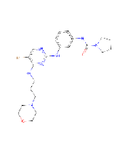 O=C(Nc1cccc(Nc2ncc(Br)c(NCCCN3CCOCC3)n2)c1)N1CCCC1